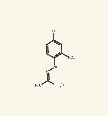 CCOC(=O)/C(C)=N\Nc1ccc(Br)cc1[N+](=O)[O-]